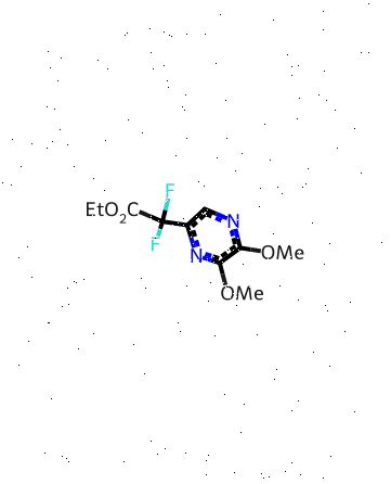 CCOC(=O)C(F)(F)c1cnc(OC)c(OC)n1